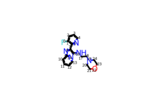 Fc1cccnc1-c1nc2ccccn2c1NCCN1CCOCC1